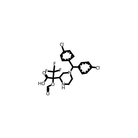 O=COC(C(=O)O)(C1CN(C(c2ccc(Cl)cc2)c2ccc(Cl)cc2)CCN1)C(F)(F)F